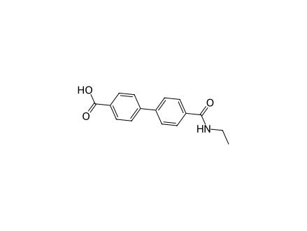 CCNC(=O)c1ccc(-c2ccc(C(=O)O)cc2)cc1